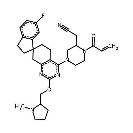 C=CC(=O)N1CCN(c2nc(OCC3CCCN3C)nc3c2CCC2(CCc4ccc(F)cc42)C3)CC1CC#N